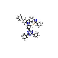 c1ccc(-c2ccc3c(c2)c2ccc4nc(-c5ccccc5)sc4c2n3-c2ccc(-c3nc(-c4ccccc4)nc(-c4ccccc4)n3)cc2)cc1